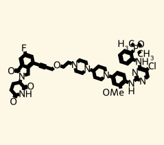 COc1cc(N2CCC(N3CCN(CCOCC#Cc4cc(F)cc5c4CN(C4CCC(=O)NC4=O)C5=O)CC3)CC2)ccc1Nc1ncc(Cl)c(Nc2ccccc2P(C)(C)=O)n1